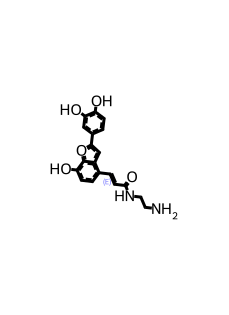 NCCNC(=O)/C=C/c1ccc(O)c2oc(-c3ccc(O)c(O)c3)cc12